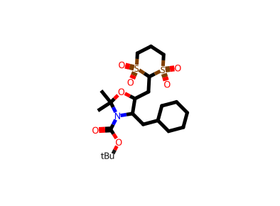 CC(C)(C)OC(=O)N1C(CC2CCCCC2)C(CC2S(=O)(=O)CCCS2(=O)=O)OC1(C)C